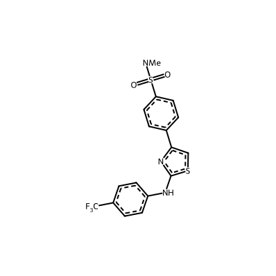 CNS(=O)(=O)c1ccc(-c2csc(Nc3ccc(C(F)(F)F)cc3)n2)cc1